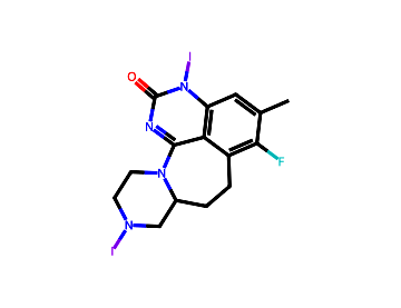 Cc1cc2c3c(nc(=O)n2I)N2CCN(I)CC2CCc3c1F